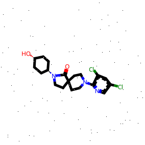 O=C1N([C@H]2CC[C@@H](O)CC2)CCC12CCN(c1ncc(Cl)cc1Cl)CC2